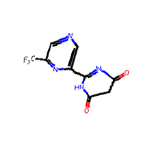 O=C1CC(=O)NC(c2cncc(C(F)(F)F)n2)=N1